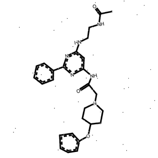 CC(=O)NCCNc1cc(NC(=O)CN2CCC(Oc3ccccc3)CC2)nc(-c2ccccc2)n1